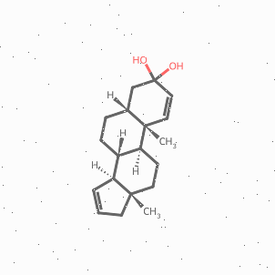 C[C@@]12CC=C[C@H]1[C@@H]1CC[C@@H]3CC(O)(O)C=C[C@]3(C)[C@H]1CC2